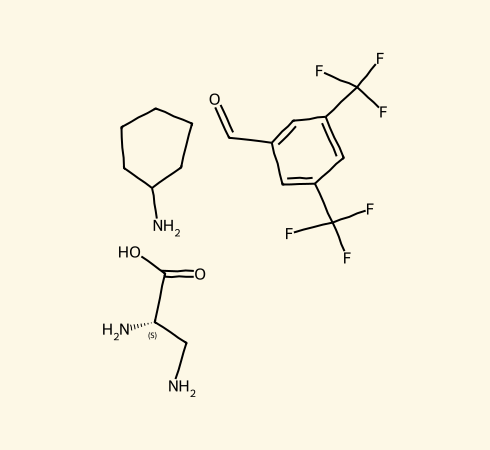 NC1CCCCC1.NC[C@H](N)C(=O)O.O=Cc1cc(C(F)(F)F)cc(C(F)(F)F)c1